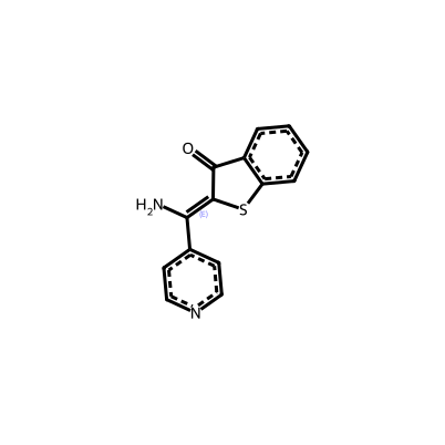 N/C(=C1/Sc2ccccc2C1=O)c1ccncc1